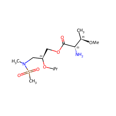 CO[C@H](C)[C@H](N)C(=O)OC[C@H](CN(C)S(C)(=O)=O)OC(C)C